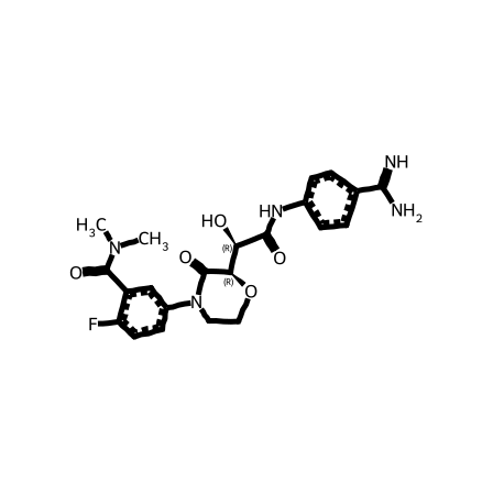 CN(C)C(=O)c1cc(N2CCO[C@H]([C@@H](O)C(=O)Nc3ccc(C(=N)N)cc3)C2=O)ccc1F